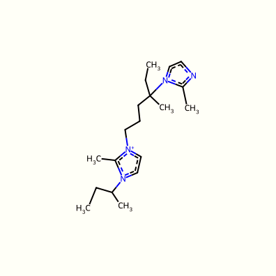 CCC(C)n1cc[n+](CCCC(C)(CC)n2ccnc2C)c1C